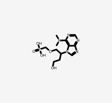 CN(C)c1ncnc2ncn(C(CCO)COCP(=O)(O)O)c12